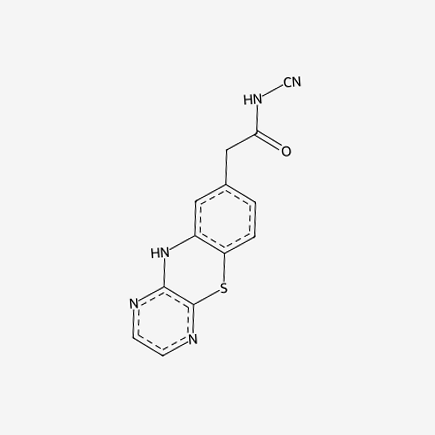 N#CNC(=O)Cc1ccc2c(c1)Nc1nccnc1S2